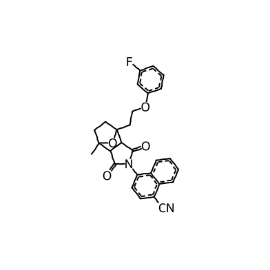 CC12CCC(CCOc3cccc(F)c3)(O1)C1C(=O)N(c3ccc(C#N)c4ccccc34)C(=O)C12